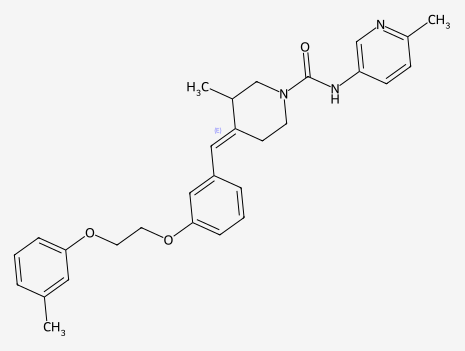 Cc1cccc(OCCOc2cccc(/C=C3\CCN(C(=O)Nc4ccc(C)nc4)CC3C)c2)c1